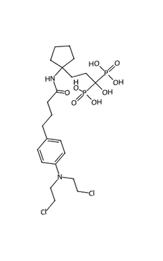 O=C(CCCc1ccc(N(CCCl)CCCl)cc1)NC1(CCC(O)(P(=O)(O)O)P(=O)(O)O)CCCC1